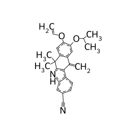 C=COc1cc2c(cc1OC(C)C)C(=C)c1c([nH]c3cc(C#N)ccc13)C2(C)C